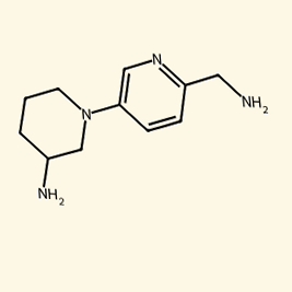 NCc1ccc(N2CCCC(N)C2)cn1